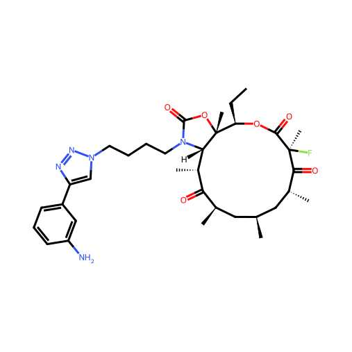 CC[C@H]1OC(=O)[C@@](C)(F)C(=O)[C@H](C)C[C@@H](C)C[C@@H](C)C(=O)[C@H](C)[C@@H]2N(CCCCn3cc(-c4cccc(N)c4)nn3)C(=O)O[C@@]21C